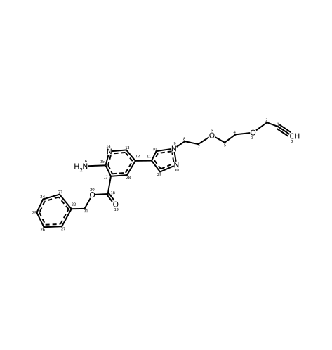 C#CCOCCOCCn1cc(-c2cnc(N)c(C(=O)OCc3ccccc3)c2)cn1